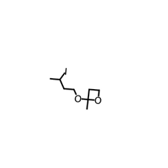 CC(I)CCOC1(C)CCO1